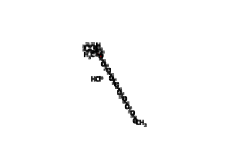 COCCOCCOCCOCCOCCOCCOCCOCCOCCOCCN1[C@@H]2Cc3ccccc3[C@@]1(C)c1ccccc12.Cl